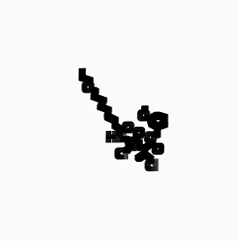 C=C(CCl)C(C(=O)OCc1cccc(OC)c1)N1C(=O)C(NC(=O)CC=CCCCCCOCCC)C1Cl